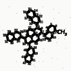 Cc1cccc2c(-c3cc(-c4ccc5ccccc5c4)c4ccc5c(-c6ccc7ccccc7c6)cc(-c6ccc7ccccc7c6)c6ccc3c4c56)cccc12